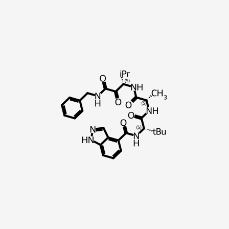 CC(C)[C@H](NC(=O)[C@H](C)NC(=O)[C@@H](NC(=O)c1cccc2[nH]ncc12)C(C)(C)C)C(=O)C(=O)NCc1ccccc1